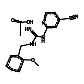 CC(=O)O.COc1ccccc1CNC(=N)Nc1cc(C#N)ccn1